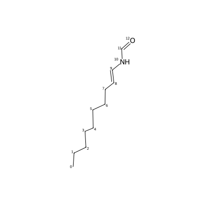 CCCCCCCCC=CNC=O